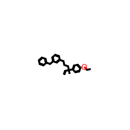 C=CC(C)(CCCc1cccc(Cc2ccccc2)c1)c1ccc(OCC)cc1